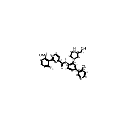 COc1cccc(F)c1-c1nccc(C(=O)Nc2ccc(-c3cnccc3C#N)cc2N2CCNC(CO)C2)n1